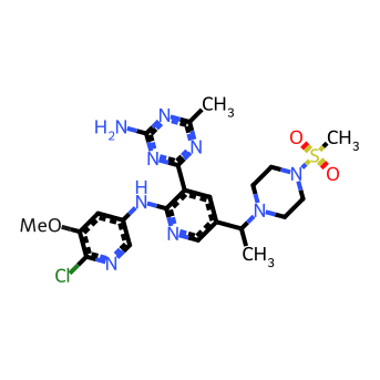 COc1cc(Nc2ncc(C(C)N3CCN(S(C)(=O)=O)CC3)cc2-c2nc(C)nc(N)n2)cnc1Cl